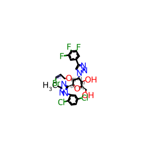 Cc1nc([C@@H]2O[C@H](CO)[C@H](O)[C@H](n3cc(-c4cc(F)c(F)c(F)c4)nn3)[C@H]2OC/C=C\Br)n(-c2cc(Cl)ccc2Cl)n1